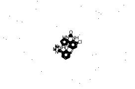 O=C1Nc2c(Cl)ccc(Oc3c(F)cccc3-c3nnn[nH]3)c2C2(CCCC2)N1